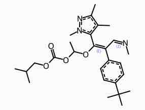 C/N=C\C(=C(\OC(C)OC(=O)OCC(C)C)c1c(C)c(C)nn1C)c1ccc(C(C)(C)C)cc1